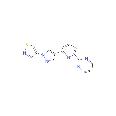 c1cnc(-c2cccc(-c3cnn(-c4cnsc4)c3)n2)nc1